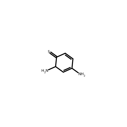 NC1=CC(N)C(=S)C=C1